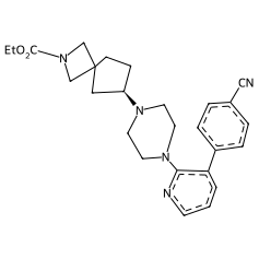 CCOC(=O)N1CC2(CC[C@@H](N3CCN(c4ncccc4-c4ccc(C#N)cc4)CC3)C2)C1